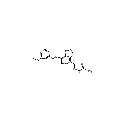 COc1cccc(COc2ccc(CN[C@@H](C)C(N)=O)c3c2OCO3)c1